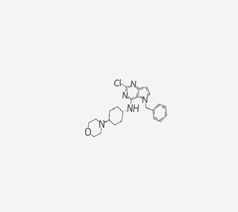 Clc1nc(N[C@H]2CC[C@H](N3CCOCC3)CC2)c2c(ccn2Cc2ccccc2)n1